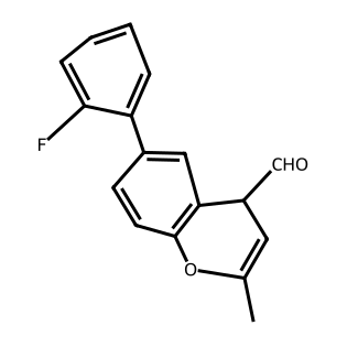 CC1=CC(C=O)c2cc(-c3ccccc3F)ccc2O1